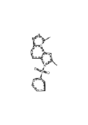 Cc1cc2c(ccc3nnc(C)n32)n1S(=O)(=O)c1ccccc1